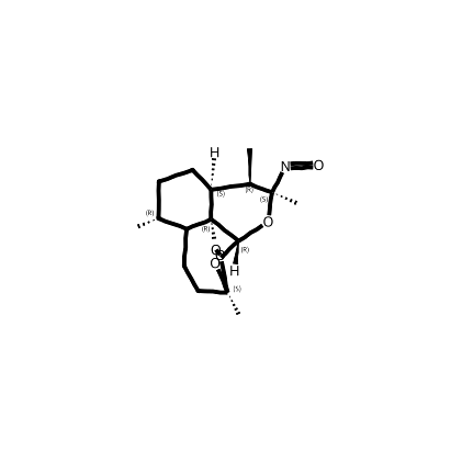 C[C@@H]1CC[C@H]2[C@@H](C)[C@@](C)(N=O)O[C@@H]3O[C@]4(C)CCC1[C@]32OO4